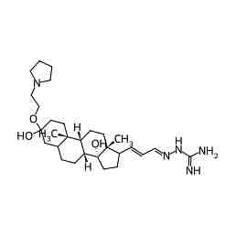 C[C@]12CCC(O)(OCCN3CCCC3)CC1CC[C@@H]1[C@H]2CC[C@]2(C)C(C=CC=NNC(=N)N)CC[C@@]12O